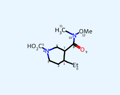 CCC1CCN(C(=O)O)CC1C(=O)N(C)OC